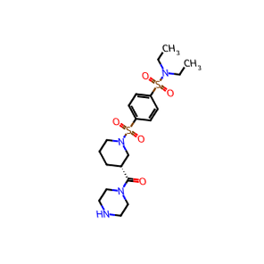 CCN(CC)S(=O)(=O)c1ccc(S(=O)(=O)N2CCC[C@@H](C(=O)N3CCNCC3)C2)cc1